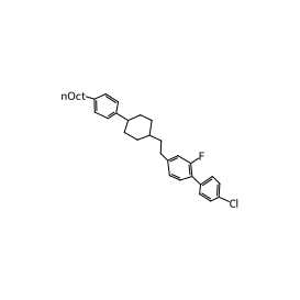 CCCCCCCCc1ccc(C2CCC(CCc3ccc(-c4ccc(Cl)cc4)c(F)c3)CC2)cc1